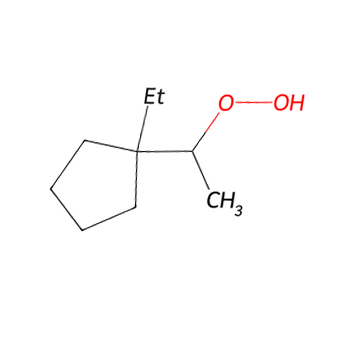 CCC1(C(C)OO)CCCC1